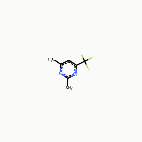 [CH2]c1nc(C)cc(C(F)(F)F)n1